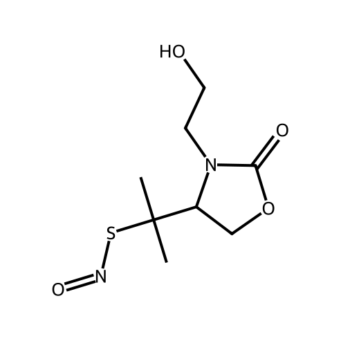 CC(C)(SN=O)C1COC(=O)N1CCO